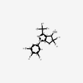 OC1c2c(C(F)(F)F)nn(-c3cc(F)c(F)c(F)c3)c2CC1(F)F